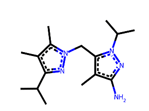 Cc1c(C(C)C)nn(Cc2c(C)c(N)nn2C(C)C)c1C